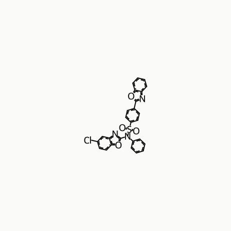 O=S(=O)(c1ccc(-c2nc3ccccc3o2)cc1)N(c1ccccc1)c1nc2cc(Cl)ccc2o1